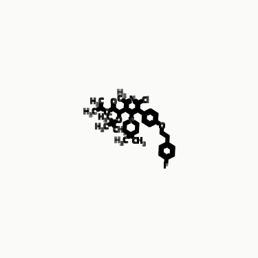 Cc1nc(Cl)c(-c2ccc(OCCc3ccc(F)cc3)cc2)c(N2CCC(C)(C)CC2)c1C(OC(C)(C)C)C(=O)OC(C)C